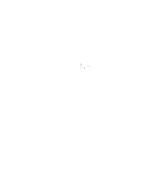 C1CCCC1.N